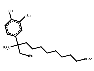 CCCCCCCCCCCCCCCCCCC(CC(C)(C)C)(C(=O)O)c1ccc(O)c(C(C)(C)C)c1